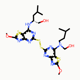 COc1nc2nc(SSc3nc(N(CO)CCC(C)C)c4sc(OC)nc4n3)nc(N[C@@H](CO)CC(C)C)c2s1